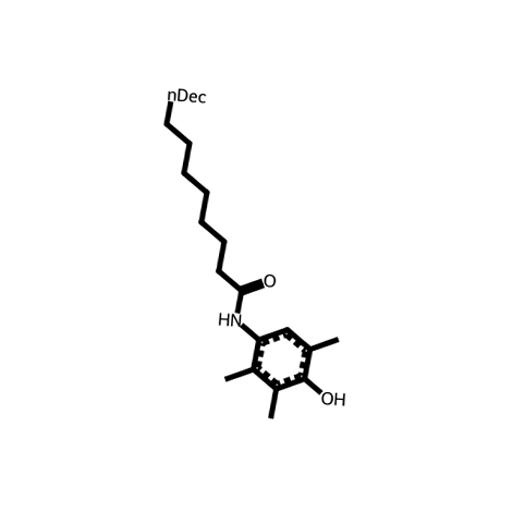 CCCCCCCCCCCCCCCCCC(=O)Nc1cc(C)c(O)c(C)c1C